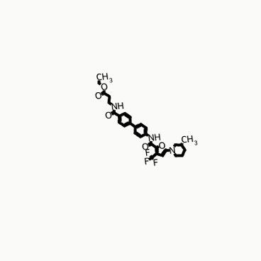 CCOC(=O)CCNC(=O)c1ccc(-c2ccc(NC(=O)c3oc(N4CCCC(C)C4)cc3C(F)(F)F)cc2)cc1